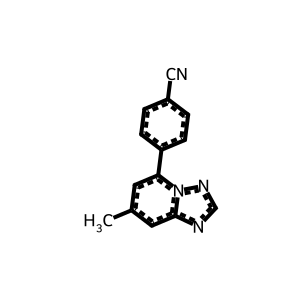 Cc1cc(-c2ccc(C#N)cc2)n2ncnc2c1